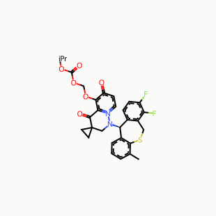 Cc1cccc2c1SCc1c(ccc(F)c1F)[C@@H]2N1CC2(CC2)C(=O)c2c(OCOC(=O)OC(C)C)c(=O)ccn21